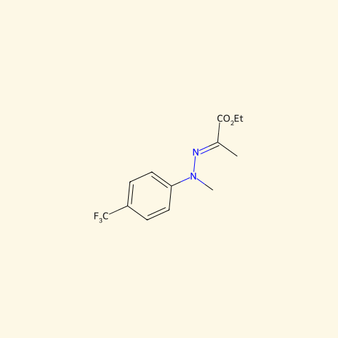 CCOC(=O)C(C)=NN(C)c1ccc(C(F)(F)F)cc1